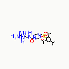 CC(C)c1cc(C(C)C)c(S(=O)(=O)CN2CCN(C(=O)NCCNC(=N)N)CC2)c(C(C)C)c1